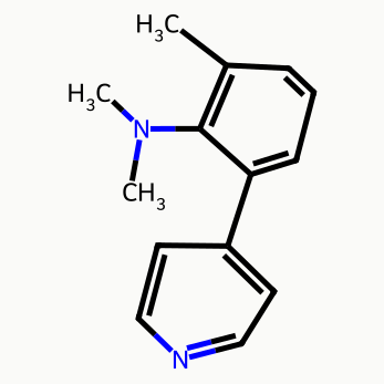 Cc1cccc(-c2ccncc2)c1N(C)C